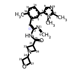 C=N/C(=C\c1cc(-c2cnc(C)n2C)ccc1C)NC(=O)C1CN(C2COC2)C1